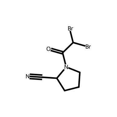 N#CC1CCCN1C(=O)C(Br)Br